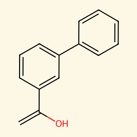 C=C(O)c1cccc(-c2ccccc2)c1